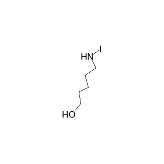 OCCCCCNI